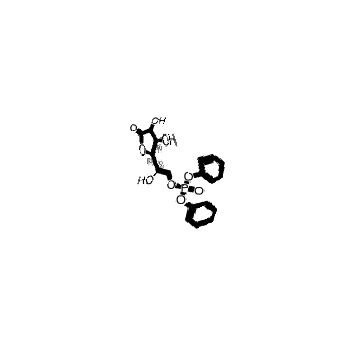 O=C1O[C@H]([C@@H](O)COP(=O)(Oc2ccccc2)Oc2ccccc2)[C@H](O)C1O